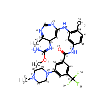 CO/C(N)=N/C1C=C(Nc2cc(NC(=O)c3cc(N4CCN(C)CC4)cc(C(F)(F)F)c3)ccc2C)N=CN=C1C